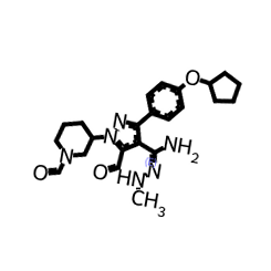 CN/N=C(/N)c1c(-c2ccc(OC3CCCC3)cc2)nn(C2CCCN(C=O)C2)c1C=O